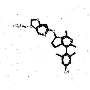 Cc1cc(C#N)cc(C)c1-c1c(C)cc(C)c2c1CCC2Oc1cc2c(cn1)[C@H](CC(=O)O)CS2